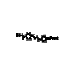 CCC=CC1CCC(CCC=CC2CCC(CCCCC)CC2)CC1